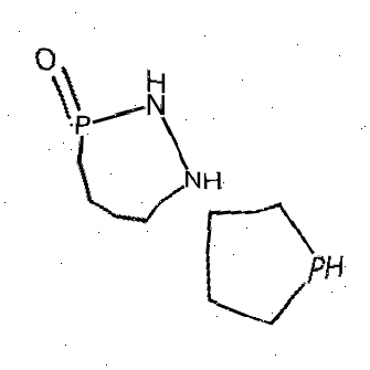 C1CCPC1.O=[P]1CCNN1